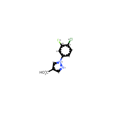 O=C(O)c1cnn(-c2ccc(Cl)c(F)c2)c1